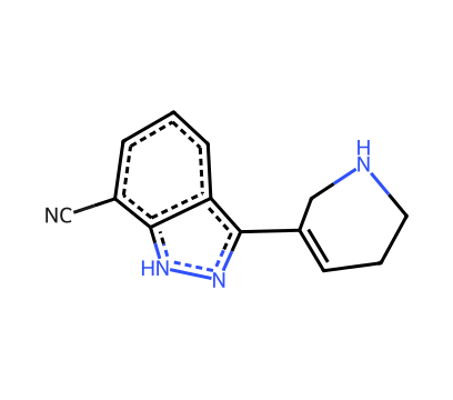 N#Cc1cccc2c(C3=CCCNC3)n[nH]c12